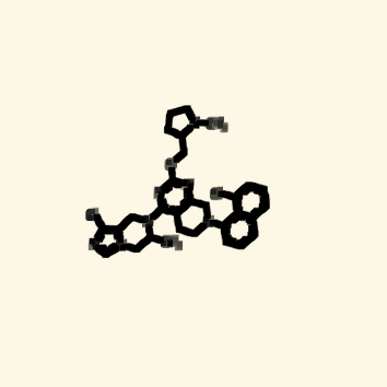 CC1Cn2cnc(Cl)c2CN1c1nc(OCC2CCCN2C)nc2c1CCN(c1cccc3cccc(Cl)c13)C2